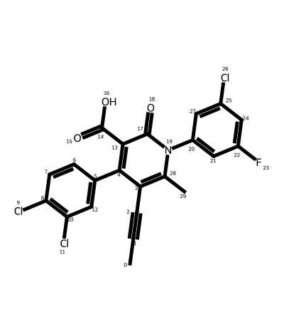 CC#Cc1c(-c2ccc(Cl)c(Cl)c2)c(C(=O)O)c(=O)n(-c2cc(F)cc(Cl)c2)c1C